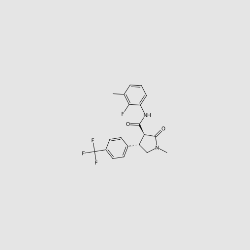 Cc1cccc(NC(=O)[C@H]2C(=O)N(C)C[C@@H]2c2ccc(C(F)(F)F)cc2)c1F